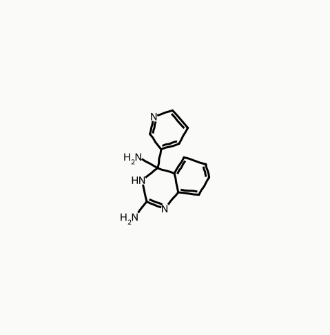 NC1=Nc2ccccc2C(N)(c2cccnc2)N1